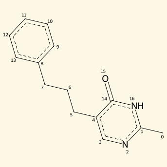 Cc1ncc(CCCc2ccccc2)c(=O)[nH]1